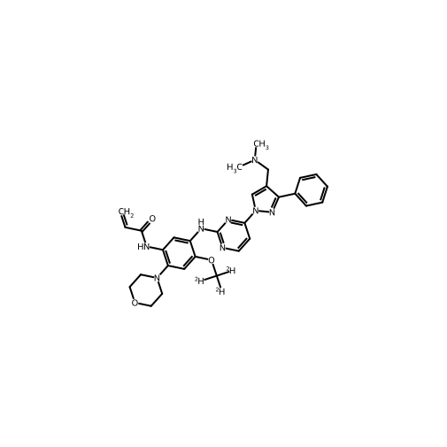 [2H]C([2H])([2H])Oc1cc(N2CCOCC2)c(NC(=O)C=C)cc1Nc1nccc(-n2cc(CN(C)C)c(-c3ccccc3)n2)n1